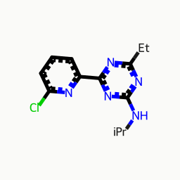 CCc1nc(NC(C)C)nc(-c2cccc(Cl)n2)n1